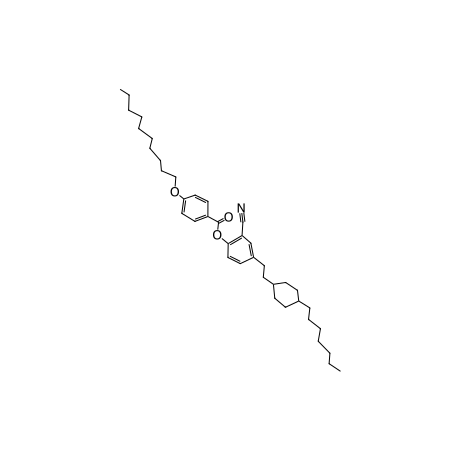 CCCCCCCCCCOc1ccc(C(=O)Oc2ccc(CCC3CCC(CCCCCCC)CC3)cc2C#N)cc1